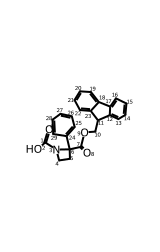 O=C(O)N1CCC1(C(=O)OCC1c2ccccc2-c2ccccc21)c1ccccc1